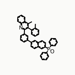 Cc1ccccc1-c1c(-c2cccc(-c3ccc4cc(P(=O)(c5ccccc5)c5ccccc5)ccc4c3)c2)nc2ccccc2c1C